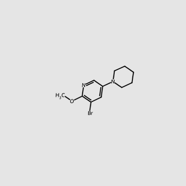 COc1ncc(N2CCCCC2)cc1Br